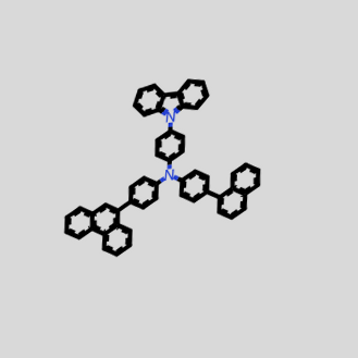 c1ccc2c(-c3ccc(N(c4ccc(-c5cc6ccccc6c6ccccc56)cc4)c4ccc(-n5c6ccccc6c6ccccc65)cc4)cc3)cccc2c1